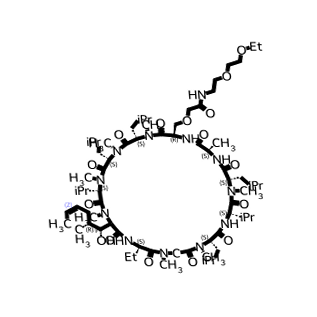 C/C=C\C[C@@H](C)[C@@H](O)C1C(=O)N[C@@H](CC)C(=O)N(C)CC(=O)N(C)[C@@H](CC(C)C)C(=O)N[C@@H](C(C)C)C(=O)N(C)[C@@H](CC(C)C)C(=O)N[C@@H](C)C(=O)N[C@H](COCC(=O)NCCOCCOCC)C(=O)N(C)[C@@H](CC(C)C)C(=O)N(C)[C@@H](CC(C)C)C(=O)N(C)[C@@H](C(C)C)C(=O)N1C